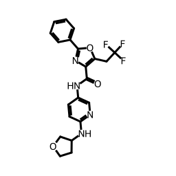 O=C(Nc1ccc(NC2CCOC2)nc1)c1nc(-c2ccccc2)oc1CC(F)(F)F